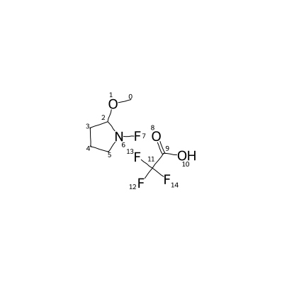 COC1CCCN1F.O=C(O)C(F)(F)F